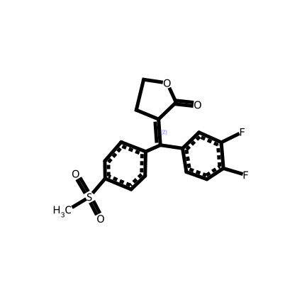 CS(=O)(=O)c1ccc(/C(=C2\CCOC2=O)c2ccc(F)c(F)c2)cc1